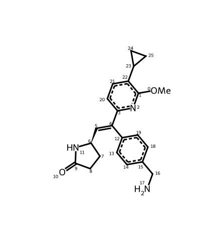 COc1nc(C(=C[C@H]2CCC(=O)N2)c2ccc(CN)cc2)ccc1C1CC1